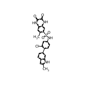 Cc1cc2ccc(-c3ccc(NS(=O)(=O)c4cc5[nH]c(=O)c(=O)[nH]c5cc4C)cc3Cl)cc2[nH]1